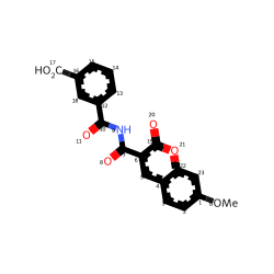 COc1ccc2cc(C(=O)NC(=O)c3cccc(C(=O)O)c3)c(=O)oc2c1